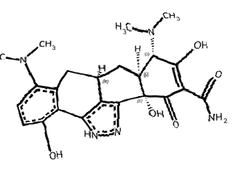 CN(C)c1ccc(O)c2c1C[C@H]1C[C@H]3[C@H](N(C)C)C(O)=C(C(N)=O)C(=O)[C@@]3(O)c3n[nH]c-2c31